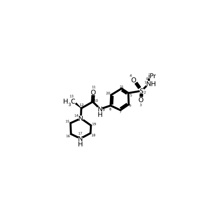 CC(C)NS(=O)(=O)c1ccc(NC(=O)[C@H](C)N2CCNCC2)cc1